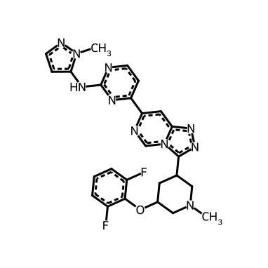 CN1CC(Oc2c(F)cccc2F)CC(c2nnc3cc(-c4ccnc(Nc5ccnn5C)n4)ncn23)C1